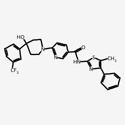 Cc1sc(NC(=O)c2ccc(N3CCC(O)(c4cccc(C(F)(F)F)c4)CC3)nc2)nc1-c1ccccc1